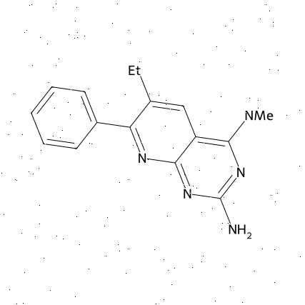 CCc1cc2c(NC)nc(N)nc2nc1-c1ccccc1